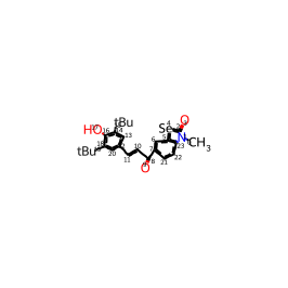 Cn1c(=O)[se]c2cc(C(=O)C=Cc3cc(C(C)(C)C)c(O)c(C(C)(C)C)c3)ccc21